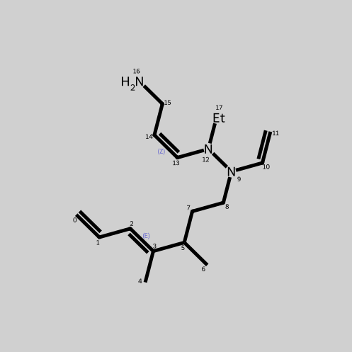 C=C/C=C(\C)C(C)CCN(C=C)N(/C=C\CN)CC